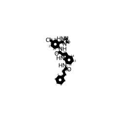 O=C(CCc1ccccc1)Nc1cccc2cc(C(=O)Nc3ccc(Cl)cc3-c3nnn[nH]3)[nH]c12